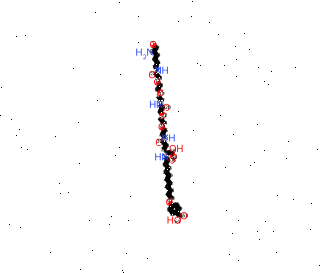 N[C@H]([C]=O)CCCCNC(=O)COCCOCCNC(=O)COCCOCCNC(=O)CC[C@H](NC(=O)CCCCCCCCCCOc1ccc(C(=O)O)cc1)C(=O)O